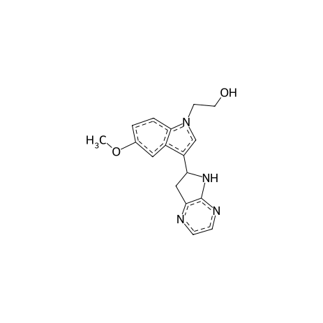 COc1ccc2c(c1)c(C1Cc3nccnc3N1)cn2CCO